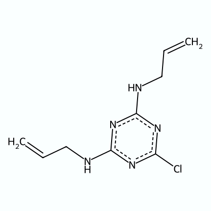 C=CCNc1nc(Cl)nc(NCC=C)n1